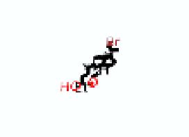 CCOCC[C@@H]1[C@@H]([C@H](C)CCCO)CC[C@]2(C)[C@@H](C(C)CBr)CC[C@@H]12